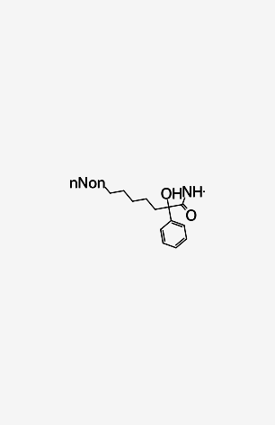 CCCCCCCCCCCCCCC(O)(C([NH])=O)c1ccccc1